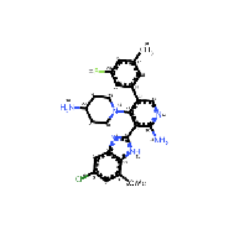 COc1cc(Cl)cc2nc(-c3c(N)ncc(-c4cc(C)cc(F)c4)c3N3CCC(N)CC3)[nH]c12